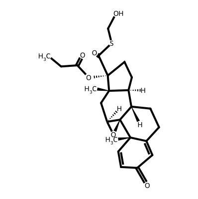 CCC(=O)O[C@]1(C(=O)SCO)CC[C@H]2[C@@H]3CCC4=CC(=O)C=C[C@]4(C)[C@@]34O[C@H]4C[C@@]21C